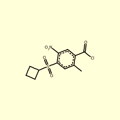 Cc1cc(S(=O)(=O)C2CCC2)c([N+](=O)[O-])cc1C(=O)Cl